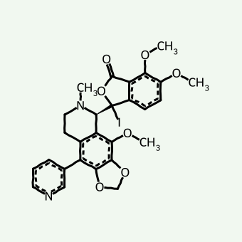 COc1ccc2c(c1OC)C(=O)OC2(I)[C@H]1c2c(c(-c3cccnc3)c3c(c2OC)OCO3)CCN1C